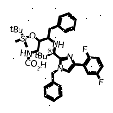 CC(C)(C)[C@@H](NC(Cc1ccccc1)C(CNC(=O)O)O[Si](C)(C)C(C)(C)C)c1nc(-c2cc(F)ccc2F)cn1Cc1ccccc1